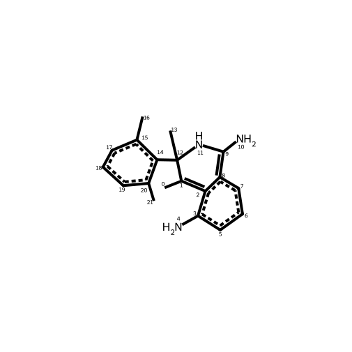 CC1=c2c(N)cccc2=C(N)NC1(C)c1c(C)cccc1C